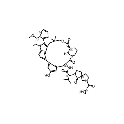 CCn1c(-c2cccnc2[C@H](C)OC)c2c3cc(ccc31)-c1cc(O)cc(c1)C[C@H](NC(=O)[C@H](C(C)C)N1CC[C@]3(CCN(C(=O)[C@H]4CN4)C3)C1=O)C(=O)N1CCC[C@H](N1)C(=O)OCC(C)(C)C2